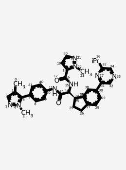 Cc1cnn(C)c1-c1ccc(NC(=O)C(NC(=O)c2ccnn2C)[C@@H]2CCc3ccc(-c4cncc(C(C)C)n4)cc32)cc1